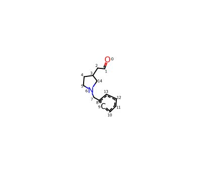 O=CCC1CCN(Cc2ccccc2)C1